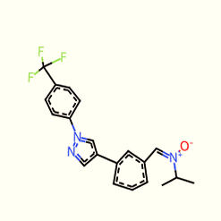 CC(C)/[N+]([O-])=C\c1cccc(-c2cnn(-c3ccc(C(F)(F)F)cc3)c2)c1